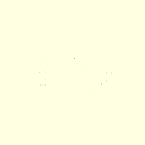 CN(Cc1ccc(CCOc2cc(-c3ccccc3O)nnc2N)cc1)C(=O)CCCCOc1cccc2c1C(=O)N(C1CCC(=O)NC1=O)C2=O